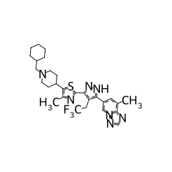 Cc1nc(-c2n[nH]c(-c3cc(C)c4ncnn4c3)c2CC(F)(F)F)sc1C1CCN(CC2CCCCC2)CC1